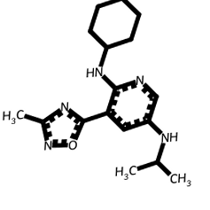 Cc1noc(-c2cc(NC(C)C)cnc2NC2CCCCC2)n1